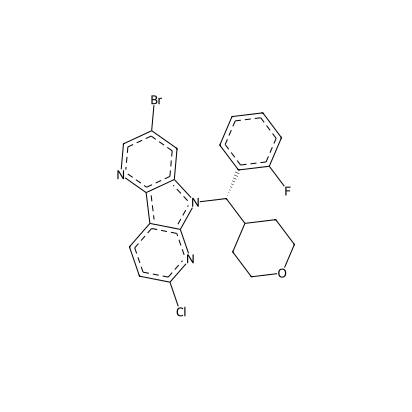 Fc1ccccc1[C@H](C1CCOCC1)n1c2cc(Br)cnc2c2ccc(Cl)nc21